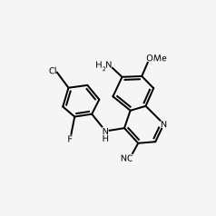 COc1cc2ncc(C#N)c(Nc3ccc(Cl)cc3F)c2cc1N